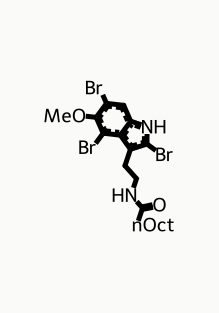 CCCCCCCCC(=O)NCCc1c(Br)[nH]c2cc(Br)c(OC)c(Br)c12